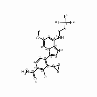 CSc1cc(NCCC(F)(F)F)c2ncc(-c3ccc(C(N)=O)c(C)c3C3CC3)n2c1